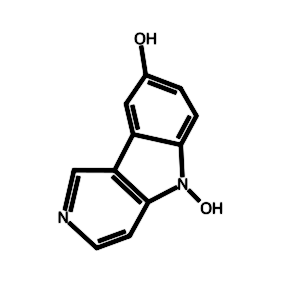 Oc1ccc2c(c1)c1cnccc1n2O